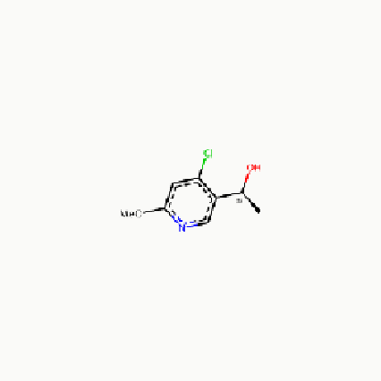 COc1cc(Cl)c([C@H](C)O)cn1